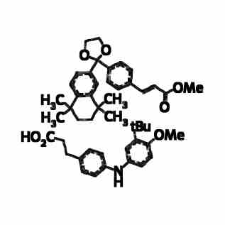 COC(=O)/C=C/c1ccc(C2(c3ccc4c(c3)C(C)(C)CCC4(C)C)OCCO2)cc1.COc1ccc(Nc2ccc(CCC(=O)O)cc2)cc1C(C)(C)C